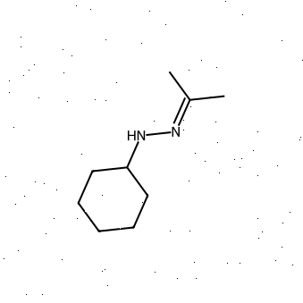 CC(C)=NNC1CCCCC1